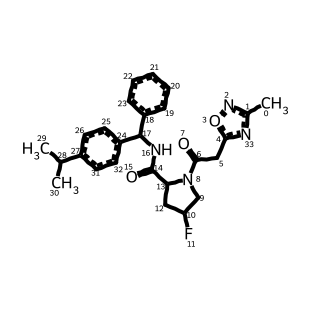 Cc1noc(CC(=O)N2CC(F)CC2C(=O)NC(c2ccccc2)c2ccc(C(C)C)cc2)n1